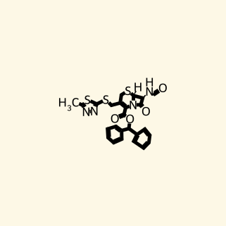 Cc1nnc(SCC2=C(C(=O)OC(c3ccccc3)c3ccccc3)N3C(=O)[C@@H](NC=O)[C@@H]3SC2)s1